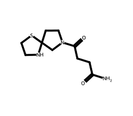 NC(=O)CCC(=O)N1CCC2(C1)NCCS2